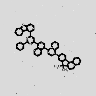 CC1(C)c2cc(-c3ccc(-c4ccc(-c5cc(-c6cccc7sc8ccccc8c67)nc(-c6ccccc6)n5)c5ccccc45)c4ccccc34)ccc2-c2c1ccc1ccccc21